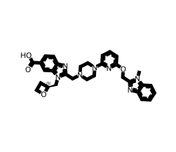 Cn1c(COc2cccc(N3CCN(Cc4nc5ccc(C(=O)O)cc5n4C[C@@H]4CCO4)CC3)n2)nc2ccccc21